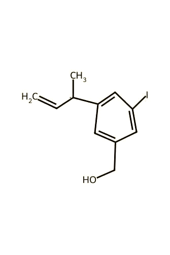 C=C[C](C)c1cc(I)cc(CO)c1